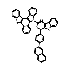 c1ccc2cc(-c3ccc(C4NC(n5c6ccccc6c6c7c8ccccc8sc7c7ccccc7c65)=Nc5c4sc4ccccc54)cc3)ccc2c1